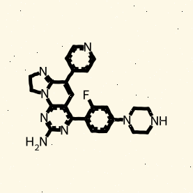 Nc1nc(-c2ccc(N3CCNCC3)cc2F)c2c(n1)N1CCN=C1C(c1ccncc1)=C2